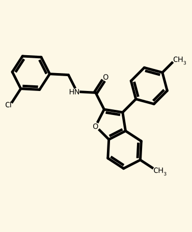 Cc1ccc(-c2c(C(=O)NCc3cccc(Cl)c3)oc3ccc(C)cc23)cc1